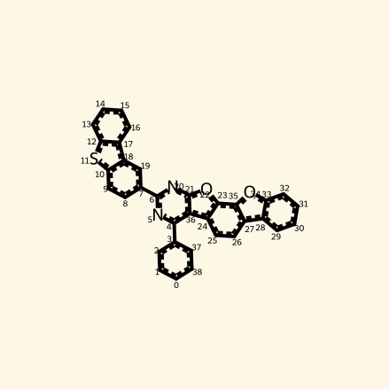 c1ccc(-c2nc(-c3ccc4sc5ccccc5c4c3)nc3oc4c(ccc5c6ccccc6oc54)c23)cc1